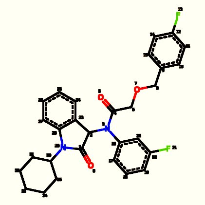 O=C1C(N(C(=O)COCc2ccc(F)cc2)c2cccc(F)c2)c2ccccc2N1C1CCCCC1